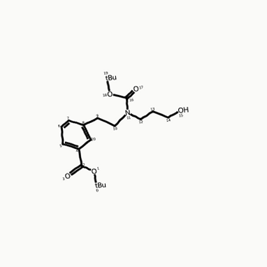 CC(C)(C)OC(=O)c1cccc(CCN(CCCO)C(=O)OC(C)(C)C)c1